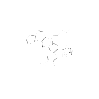 CCCCCOc1ccc2ccccc2c1C(=O)c1ncc(-c2nnn[nH]2)c2cc(OC)c(OC)cc12